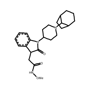 CONC(=O)CC1C(=O)N(C2CCN(C3C4CCCC3CC4)CC2)c2ccccc21